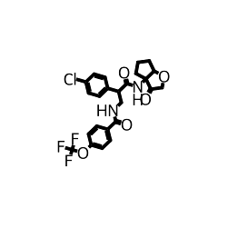 O=C(NCC(C(=O)NC12CCCC1OCC2=O)c1ccc(Cl)cc1)c1ccc(OC(F)(F)F)cc1